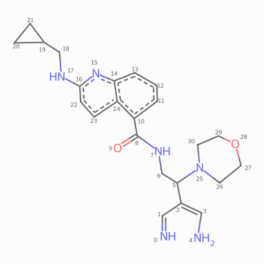 N=C/C(=C\N)C(CNC(=O)c1cccc2nc(NCC3CC3)ccc12)N1CCOCC1